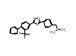 CN(C)Cc1ccc(-c2nc(-c3ccc(-c4ccccc4)c(C(F)(F)F)c3)no2)cc1